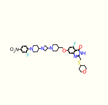 O=c1[nH]c(CSC2CCOCC2)nc2cc(OCC3CCN(C4CN(C5CCN(c6ccc([N+](=O)[O-])cc6F)CC5)C4)CC3)cc(F)c12